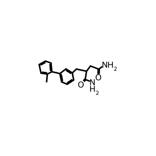 Cc1ccccc1-c1cccc(CC(CC(N)=O)C(N)=O)c1